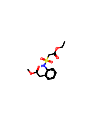 CCOC(=O)CS(=O)(=O)Nc1ccccc1CC(=O)OC